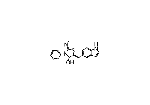 C/N=C1\S/C(=C\c2ccc3[nH]ccc3c2)C(O)N1c1ccccc1